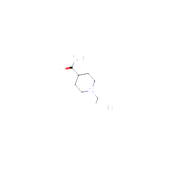 NC(=O)C1CCN(CC(=O)O)CC1